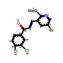 COc1ncc(Br)cc1C=CC(=O)c1ccc(Cl)c(Cl)c1